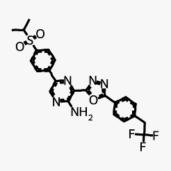 CC(C)S(=O)(=O)c1ccc(-c2cnc(N)c(-c3nnc(-c4ccc(CC(F)(F)F)cc4)o3)n2)cc1